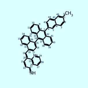 Cc1ccc2cc(-c3c4ccccc4c(-c4ccc(/C=C(/C=C\C=N)c5ccccn5)c5ccccc45)c4ccccc34)ccc2c1